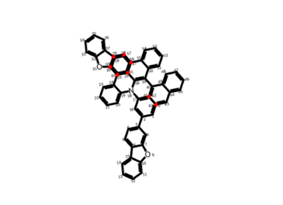 c1cc(-c2ccc3c(c2)oc2ccccc23)cc(N(c2ccccc2-c2cccc3c2oc2ccccc23)c2c(-c3cccc4ccccc34)c3ccccc3c3ccccc23)c1